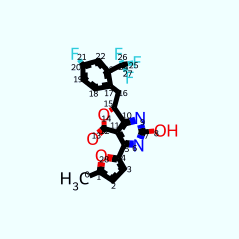 Cc1ccc(-c2nc(O)nc3c2C(=O)OC3Cc2ccc(F)cc2C(F)(F)F)o1